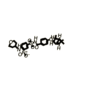 C[C@@H]1[C@H]2C[C@@H](C[C@H]1Oc1ccc(C(=O)NS(=O)(=O)c3ccc(NC4CCOCC4)c([N+](=O)[O-])c3)cc1)C2(C)C